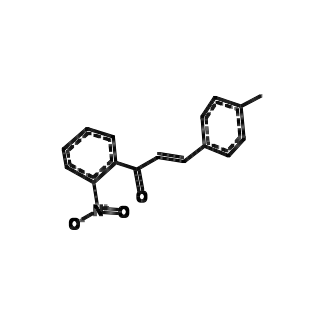 Cc1ccc(C=CC(=O)c2ccccc2[N+](=O)[O-])cc1